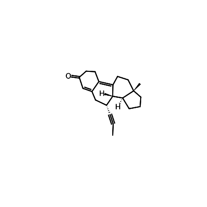 CC#C[C@@H]1CC2=CC(=O)CCC2=C2CC[C@]3(C)CCC[C@H]3[C@@H]21